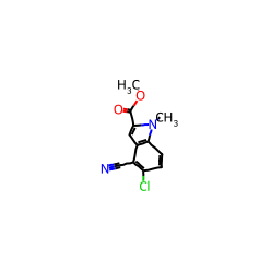 COC(=O)c1cc2c(C#N)c(Cl)ccc2n1C